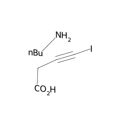 CCCCN.O=C(O)CC#CI